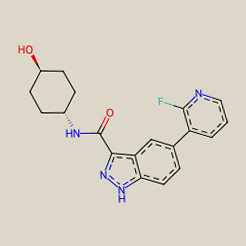 O=C(N[C@H]1CC[C@H](O)CC1)c1n[nH]c2ccc(-c3cccnc3F)cc12